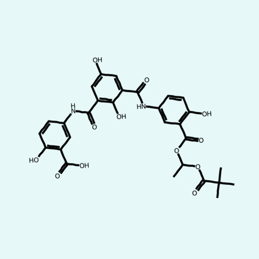 CC(OC(=O)c1cc(NC(=O)c2cc(O)cc(C(=O)Nc3ccc(O)c(C(=O)O)c3)c2O)ccc1O)OC(=O)C(C)(C)C